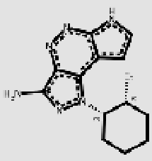 CC[C@@H]1CCCC[C@@H]1n1nc(N)c2nnc3[nH]ccc3c21